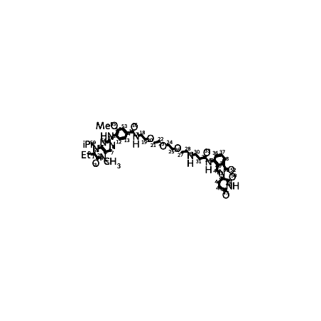 CCC1C(=O)N(C)c2cnc(Nc3ccc(C(=O)NCCOCCOCCOCCNCCC(=O)Nc4cccc5c4CN(C4CCC(=O)NC4=O)C5=O)cc3OC)nc2N1C(C)C